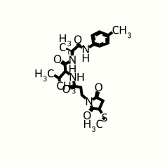 CSC1CC(=O)N(CCC(=O)NC(C(=O)N[C@@H](C)C(=O)Nc2ccc(C)cc2)C(C)C)C1=O